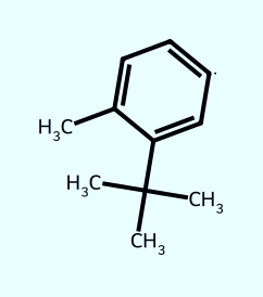 Cc1cc[c]cc1C(C)(C)C